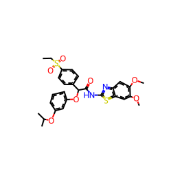 CCS(=O)(=O)c1ccc(C(Oc2cccc(OC(C)C)c2)C(=O)Nc2nc3cc(OC)c(OC)cc3s2)cc1